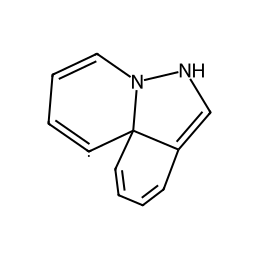 [C]1=CC=CN2NC=C3C=CC=CC132